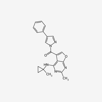 Cc1nc(NC2(C)CC2)c2c(C(=O)n3cc(-c4ccccc4)cn3)coc2n1